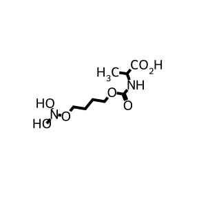 CC(NC(=O)OCCCCON(O)O)C(=O)O